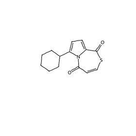 O=c1sccc(=O)n2c(C3CCCCC3)ccc12